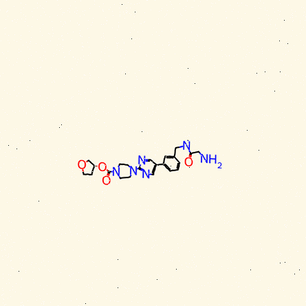 CN(Cc1cccc(-c2cnc(N3CCN(C(=O)O[C@@H]4CCOC4)CC3)nc2)c1)C(=O)CN